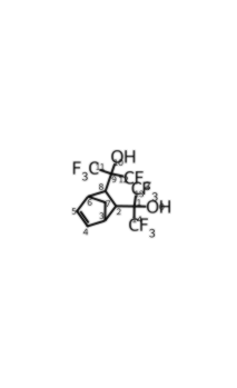 OC(C1C2C=CC(C2)C1C(O)(C(F)(F)F)C(F)(F)F)(C(F)(F)F)C(F)(F)F